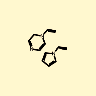 C=CN1C=CN=CC1.C=Cn1cccc1